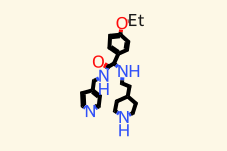 CCOc1ccc(C(NCCC2CCNCC2)C(=O)NCc2ccncc2)cc1